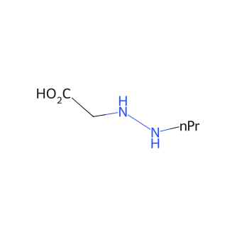 CCCNNCC(=O)O